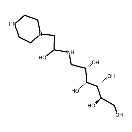 OC[C@@H](O)[C@@H](O)[C@H](O)[C@@H](O)CNC(O)CN1CCNCC1